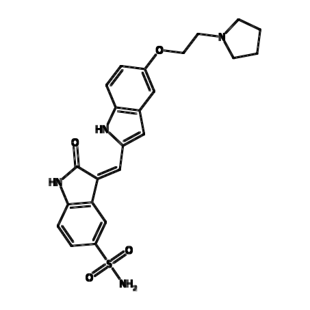 NS(=O)(=O)c1ccc2c(c1)C(=Cc1cc3cc(OCCN4CCCC4)ccc3[nH]1)C(=O)N2